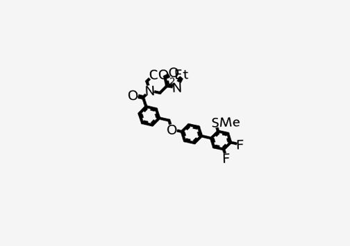 CCOC(=O)CN(Cc1cocn1)C(=O)c1cccc(COc2ccc(-c3cc(F)c(F)cc3SC)cc2)c1